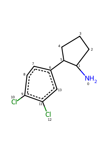 NC1CCCC1c1ccc(Cl)c(Cl)c1